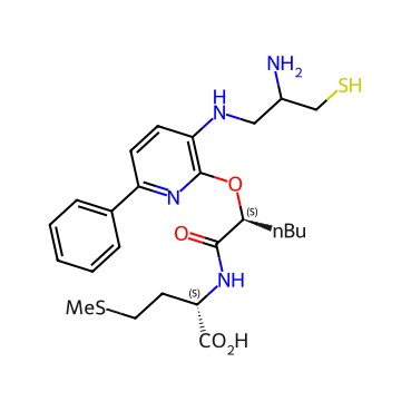 CCCC[C@H](Oc1nc(-c2ccccc2)ccc1NCC(N)CS)C(=O)N[C@@H](CCSC)C(=O)O